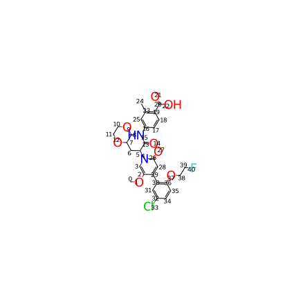 COc1cn(C(CC2COCCO2)C(=O)Nc2ccc(C(=O)O)c(C)c2)c(=O)cc1-c1cc(Cl)ccc1OCCF